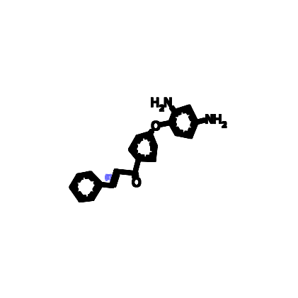 Nc1ccc(Oc2ccc(C(=O)/C=C/c3ccccc3)cc2)c(N)c1